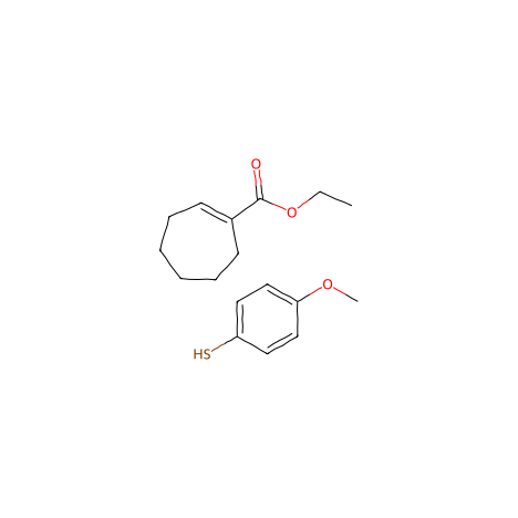 CCOC(=O)C1=CCCCCC1.COc1ccc(S)cc1